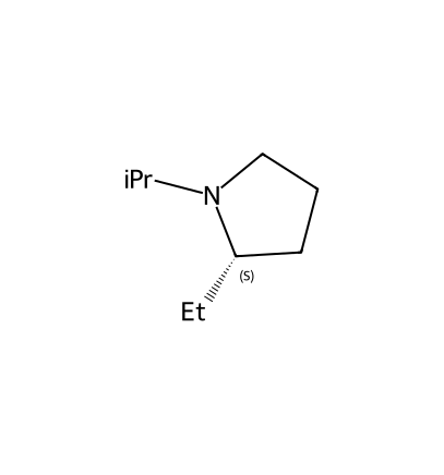 CC[C@H]1CCCN1C(C)C